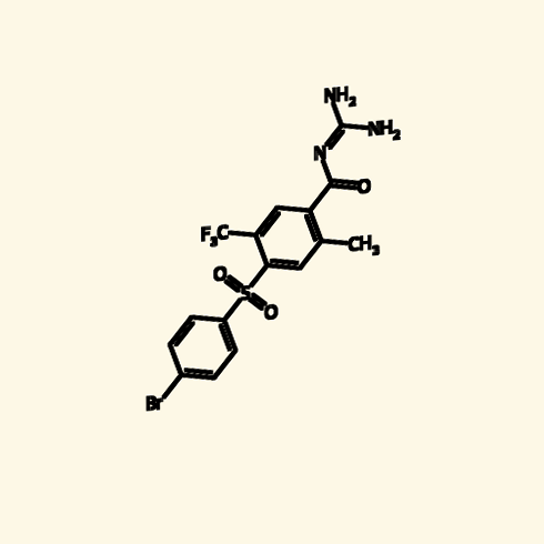 Cc1cc(S(=O)(=O)c2ccc(Br)cc2)c(C(F)(F)F)cc1C(=O)N=C(N)N